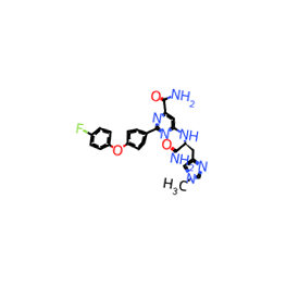 Cn1cnc(C[C@H](Nc2cc(C(N)=O)nc(-c3ccc(Oc4ccc(F)cc4)cc3)n2)C(N)=O)c1